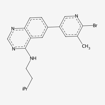 Cc1cc(-c2ccc3ncnc(NCCC(C)C)c3c2)cnc1Br